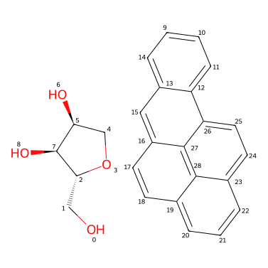 OC[C@H]1OC[C@H](O)[C@@H]1O.c1ccc2c(c1)cc1ccc3cccc4ccc2c1c34